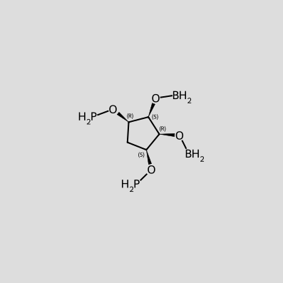 BO[C@@H]1[C@H](OB)[C@H](OP)C[C@@H]1OP